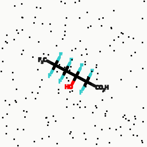 O=C(O)C(F)(F)C(O)(F)C(F)(F)C(F)(F)C(F)(F)F